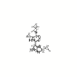 O=C(N[C@@H](C(=O)N1CC2(CCC2)C1)C1CC1)c1c[nH]c2ncc(C3CC3)nc12